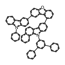 c1ccc(-c2cc(-c3ccccc3)cc(-n3c4ccc(-c5cccc6oc7ccc(-c8ccc9c(c8)c8ccccc8n9-c8ccccc8)cc7c56)cc4c4ccc5ccccc5c43)c2)cc1